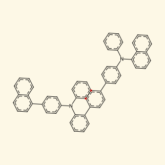 c1ccc(N(c2ccc(-c3cccc4ccccc34)cc2)c2ccccc2-c2ccc(-c3ccc(N(c4ccccc4)c4cccc5ccccc45)cc3)cc2)cc1